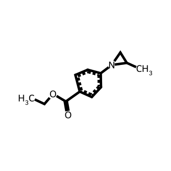 CCOC(=O)c1ccc(N2CC2C)cc1